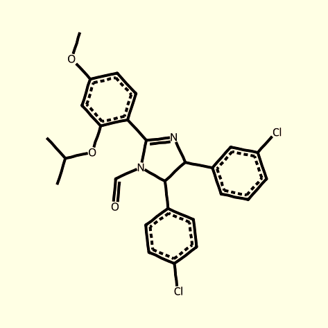 COc1ccc(C2=NC(c3cccc(Cl)c3)C(c3ccc(Cl)cc3)N2C=O)c(OC(C)C)c1